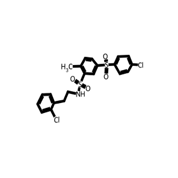 Cc1ccc(S(=O)(=O)c2ccc(Cl)cc2)cc1S(=O)(=O)NCCc1ccccc1Cl